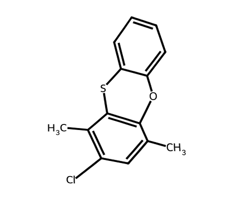 Cc1cc(Cl)c(C)c2c1Oc1ccccc1S2